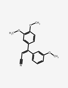 COc1cccc(/C(=C\C#N)c2ccc(OC)c(OC)c2)c1